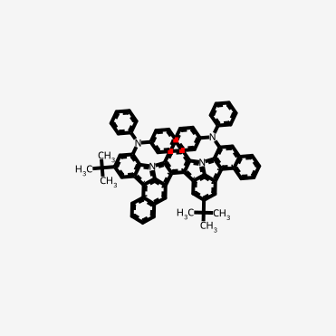 CC(C)(C)c1cc(N(c2ccccc2)c2ccccc2)c2c(c1)c1c3ccccc3cc3c4c5c6cc(C(C)(C)C)cc7c8c9ccccc9cc(N(c9ccccc9)c9ccccc9)c8n(c5ccc4n2c31)c67